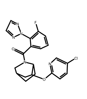 O=C(c1cccc(F)c1-n1nccn1)N1CC2CCC1C(Oc1ccc(Cl)cn1)C2